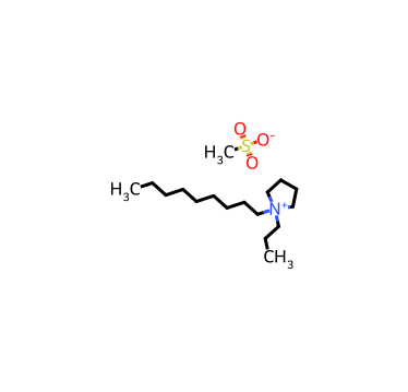 CCCCCCCCC[N+]1(CCC)CCCC1.CS(=O)(=O)[O-]